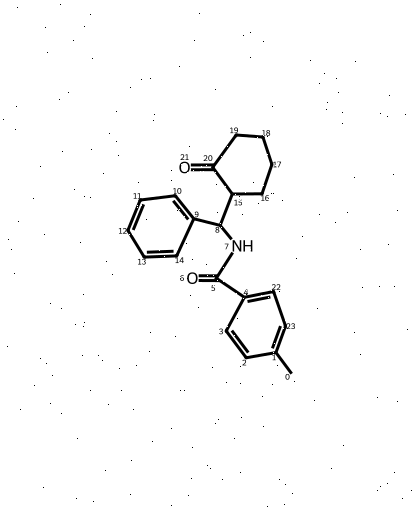 Cc1ccc(C(=O)NC(c2ccccc2)C2CCCCC2=O)cc1